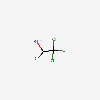 [O]C(Cl)C(Cl)(Cl)Cl